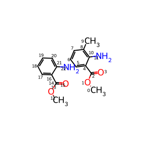 COC(=O)c1cccc(C)c1N.COC(=O)c1ccccc1N